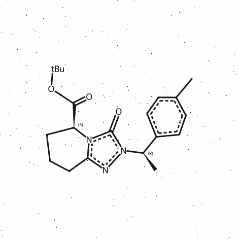 Cc1ccc([C@@H](C)n2nc3n(c2=O)[C@H](C(=O)OC(C)(C)C)CCC3)cc1